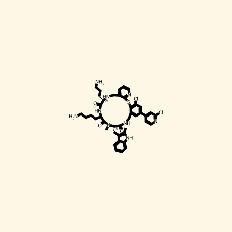 Cc1[nH]c2ccccc2c1C[C@H]1C(=O)NCc2cc(-c3ccnc(Cl)c3)cc(Cl)c2Sc2ncccc2CN[C@@H](CCCN)C(=O)NC(CCCCN)C(=O)N1C